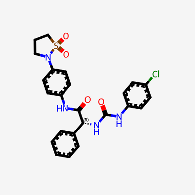 O=C(Nc1ccc(Cl)cc1)N[C@@H](C(=O)Nc1ccc(N2CCCS2(=O)=O)cc1)c1ccccc1